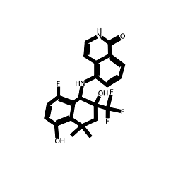 CC1(C)CC(O)(C(F)(F)F)C(Nc2cccc3c(=O)[nH]ccc23)c2c(F)ccc(O)c21